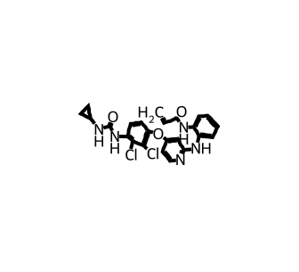 C=CC(=O)Nc1ccccc1Nc1cc(Oc2ccc(NC(=O)NC3CC3)c(Cl)c2Cl)ccn1